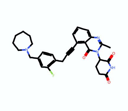 Cc1nc2cccc(C#CCc3ccc(CN4CCCCCC4)cc3F)c2c(=O)n1C1CCC(=O)NC1=O